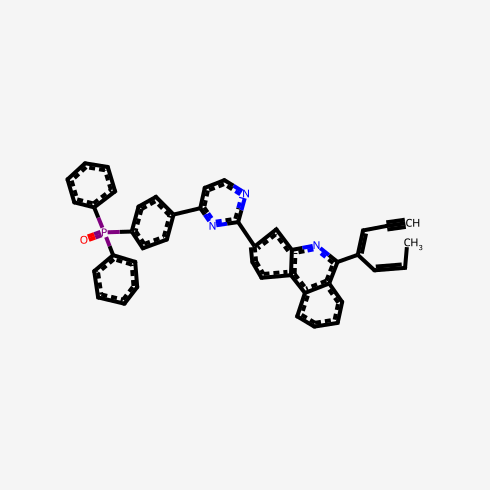 C#C/C=C(\C=C/C)c1nc2cc(-c3nccc(-c4ccc(P(=O)(c5ccccc5)c5ccccc5)cc4)n3)ccc2c2ccccc12